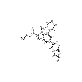 COCC[S@+]([O-])c1sc2nc(-c3cnc4nn(C)cc4c3)nc(-c3ccccc3)c2c1N